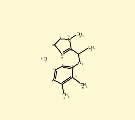 Cc1cccc(OC(C)C2=NCCN2C)c1C.Cl